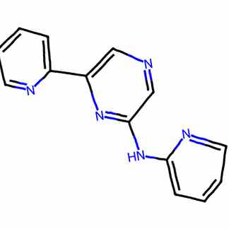 c1ccc(Nc2cncc(-c3ccccn3)n2)nc1